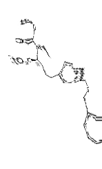 CCOC(=O)[C@H](Cc1cccc(SCc2ccc(C(C)(C)C)cc2)c1)NC(=O)OC(C)(C)C